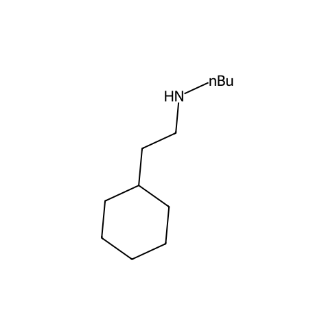 CCCCNCCC1CCCCC1